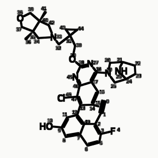 C#Cc1c(F)ccc2cc(O)cc(-c3c(C)cc4c(N5CC6CCC(C5)N6)nc(OCC5(CN6C[C@]7(C)COC[C@]7(C)C6)CC5)nc4c3Cl)c12